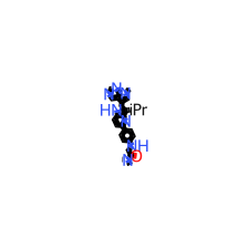 CC(C)c1c(-c2cn(C)c3ncncc23)[nH]c2ccc(C3CCC(NCC(=O)N(C)C)CC3)nc12